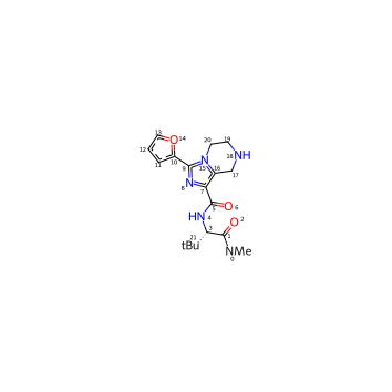 CNC(=O)[C@@H](NC(=O)c1nc(-c2ccco2)n2c1CNCC2)C(C)(C)C